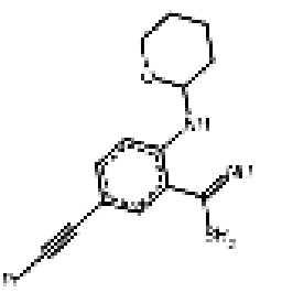 BC(=N)c1cc(C#CCCC)ccc1NC1CCCCO1